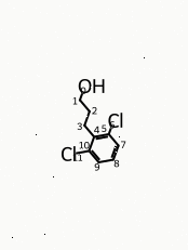 OCCCc1c(Cl)cccc1Cl